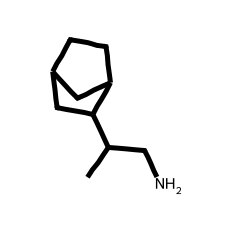 CC(CN)C1CC2CCC1C2